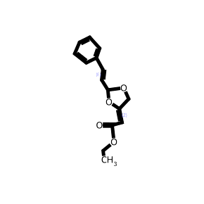 CCOC(=O)/C=C1/COC(/C=C/c2ccccc2)O1